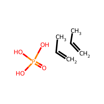 C=CC.C=CC.O=P(O)(O)O